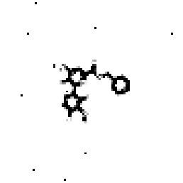 COc1c(Cl)ccc(-c2nc(C(=O)OCc3ccccc3)cc(N)c2F)c1F